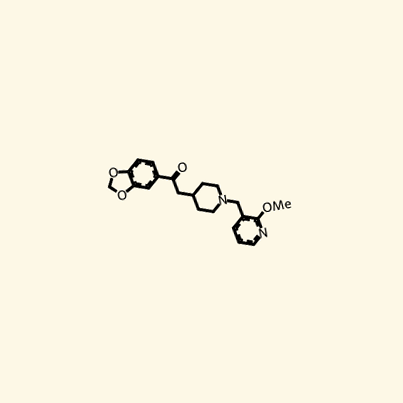 COc1ncccc1CN1CCC(CC(=O)c2ccc3c(c2)OCO3)CC1